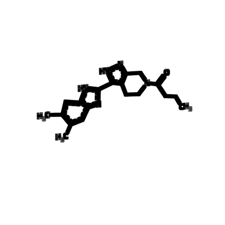 CCCC(=O)N1CCc2c(n[nH]c2-c2nc3cc(C)c(C)cc3[nH]2)C1